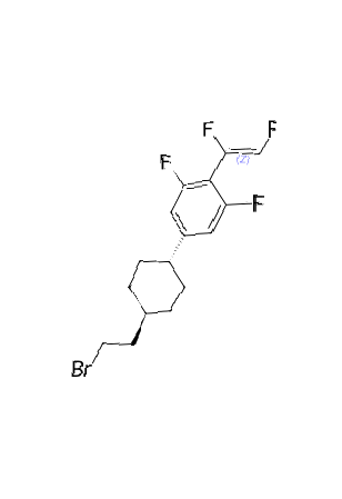 F/C=C(\F)c1c(F)cc([C@H]2CC[C@H](CCBr)CC2)cc1F